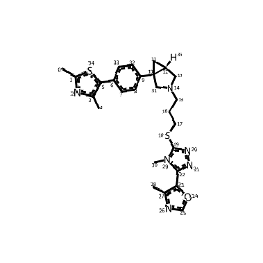 Cc1nc(C)c(-c2ccc(C34C[C@@H]3CN(CCCSc3nnc(-c5ocnc5C)n3C)C4)cc2)s1